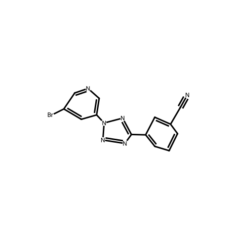 N#Cc1cccc(-c2nnn(-c3cncc(Br)c3)n2)c1